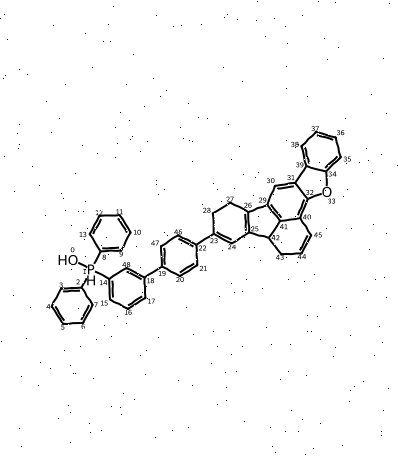 O[PH](c1ccccc1)(c1ccccc1)c1cccc(-c2ccc(C3=CC4=C(CC3)c3cc5c(oc6ccccc65)c5c3C4CC=C5)cc2)c1